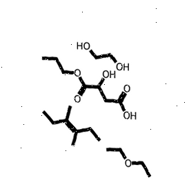 CC/C(C)=C(\C)CC.CCCOC(=O)C(O)CC(=O)O.CCOCC.OCCO